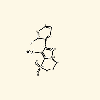 O=C(O)c1c(-c2ccccc2F)nn2c1S(=O)(=O)CCC2